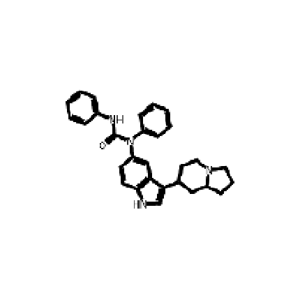 O=C(Nc1ccccc1)N(c1ccccc1)c1ccc2[nH]cc(C3CCN4CCCC4C3)c2c1